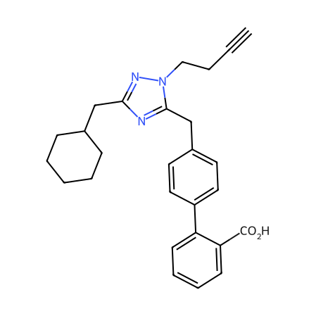 C#CCCn1nc(CC2CCCCC2)nc1Cc1ccc(-c2ccccc2C(=O)O)cc1